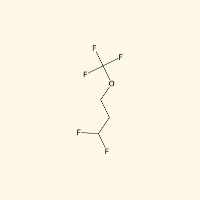 FC(F)CCOC(F)(F)F